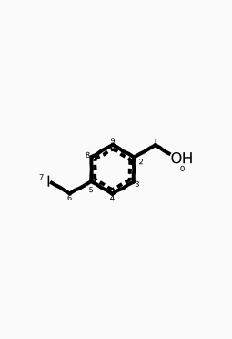 OCc1ccc(CI)cc1